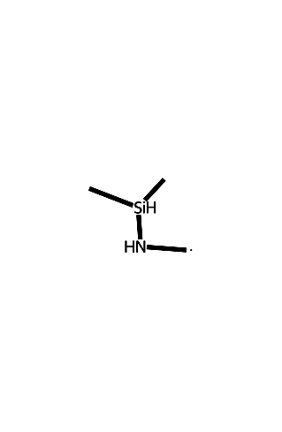 [CH2]N[SiH](C)C